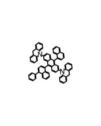 c1ccc(-c2ccc(-c3c4ccc(N5c6ccccc6Cc6ccccc65)cc4c(-c4cccc5ccccc45)c4ccc(N5c6ccccc6Cc6ccccc65)cc34)c3ccccc23)cc1